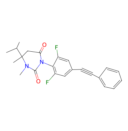 CC(C)C1(C)CC(=O)N(c2c(F)cc(C#Cc3ccccc3)cc2F)C(=O)N1C